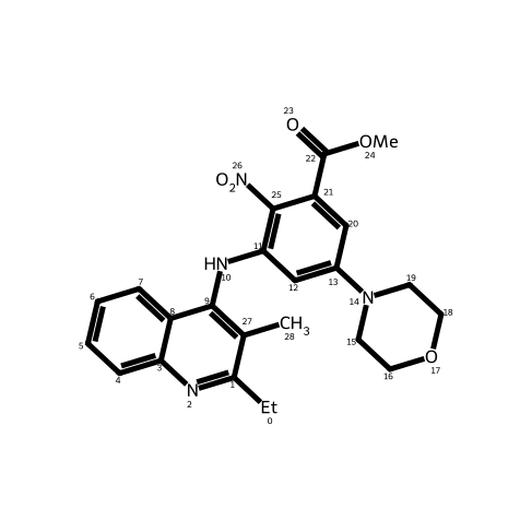 CCc1nc2ccccc2c(Nc2cc(N3CCOCC3)cc(C(=O)OC)c2[N+](=O)[O-])c1C